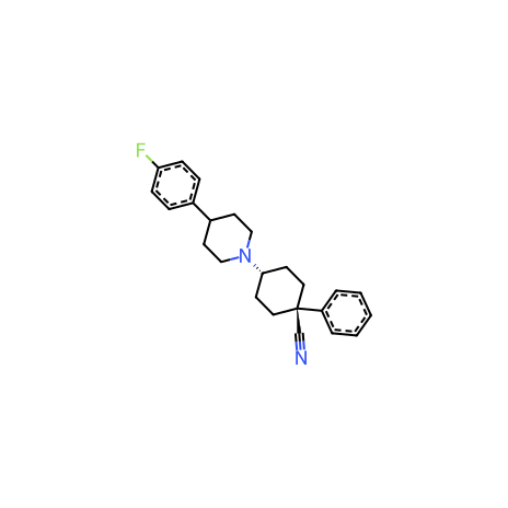 N#C[C@]1(c2ccccc2)CC[C@@H](N2CCC(c3ccc(F)cc3)CC2)CC1